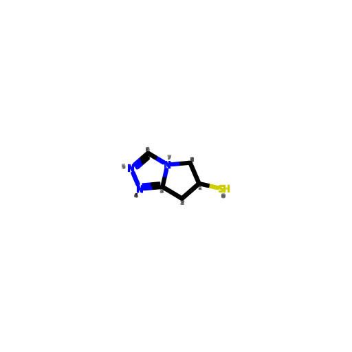 SC1Cc2nncn2C1